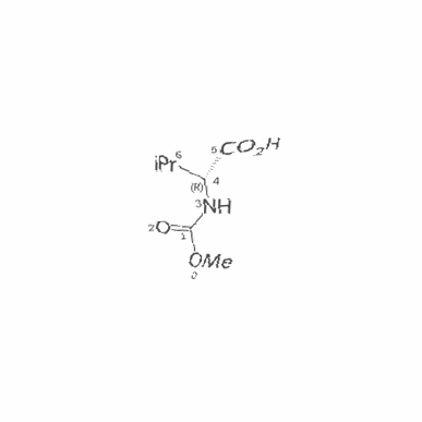 COC(=O)N[C@@H](C(=O)O)C(C)C